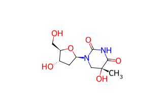 C[C@@]1(O)CN([C@H]2C[C@H](O)[C@@H](CO)O2)C(=O)NC1=O